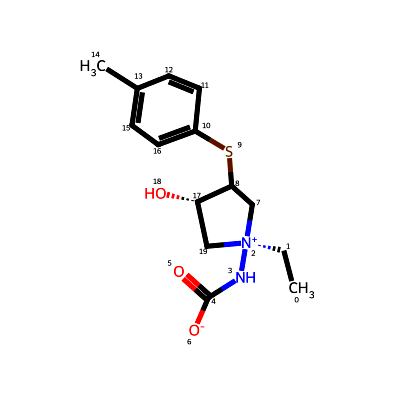 CC[N@@+]1(NC(=O)[O-])CC(Sc2ccc(C)cc2)[C@@H](O)C1